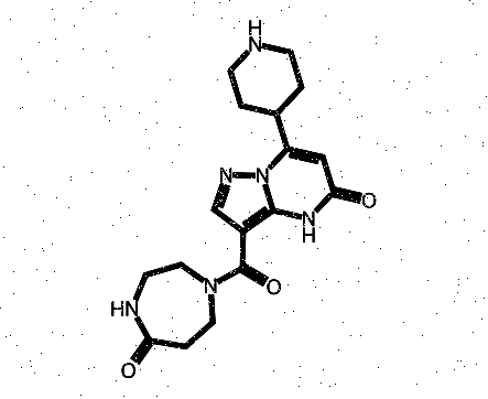 O=C1CCN(C(=O)c2cnn3c(C4CCNCC4)cc(=O)[nH]c23)CCN1